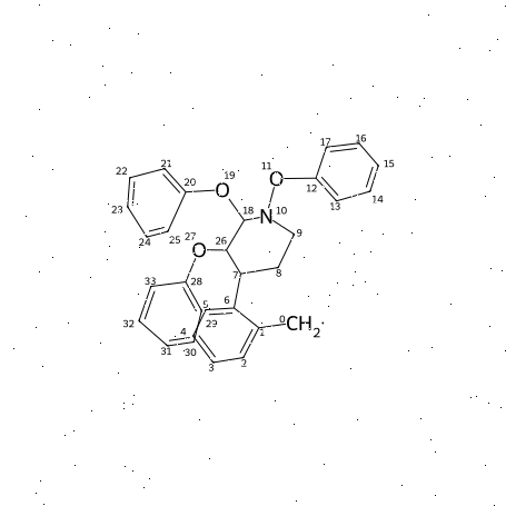 [CH2]c1ccccc1C1CCN(Oc2ccccc2)C(Oc2ccccc2)C1Oc1ccccc1